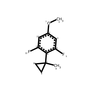 COc1cc(F)c(C2(C)CC2)c(F)c1